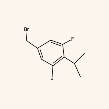 CC(C)c1c(F)cc(CBr)cc1F